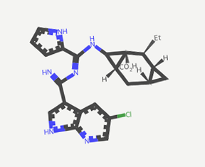 CC[C@H]1[C@@H]2C[C@@H]2C[C@@H]2C(N/C(=N/C(=N)c3c[nH]c4ncc(Cl)cc34)c3ccc[nH]3)[C@@]21C(=O)O